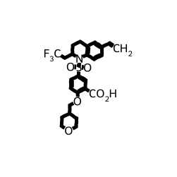 C=Cc1ccc2c(c1)CCC(CC(F)(F)F)N2S(=O)(=O)c1ccc(OCC2CCOCC2)c(C(=O)O)c1